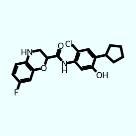 O=C(Nc1cc(O)c(C2CCCC2)cc1Cl)C1CNc2ccc(F)cc2O1